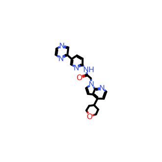 O=C(Cn1ccc2c(C3CCOCC3)ccnc21)Nc1ccc(-c2cnccn2)cn1